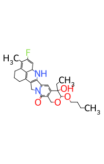 CCCCOC1OCc2c(cc3n(c2=O)CC2=C3NC3C=C(F)C(C)=C4CCCC2=C43)C1(O)CC